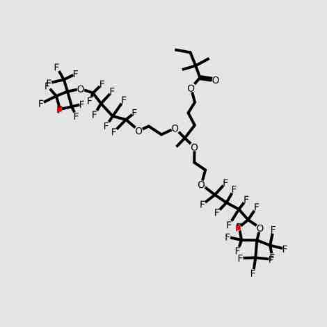 CCC(C)(C)C(=O)OCCCC(C)(OCCOC(F)(F)C(F)(F)C(F)(F)C(F)(F)OC(C(F)(F)F)(C(F)(F)F)C(F)(F)F)OCCOC(F)(F)C(F)(F)C(F)(F)C(F)(F)OC(C(F)(F)F)(C(F)(F)F)C(F)(F)F